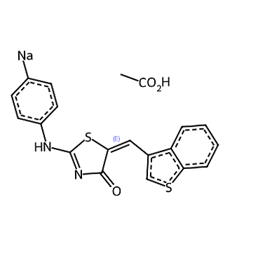 CC(=O)O.O=C1N=C(Nc2cc[c]([Na])cc2)S/C1=C/c1csc2ccccc12